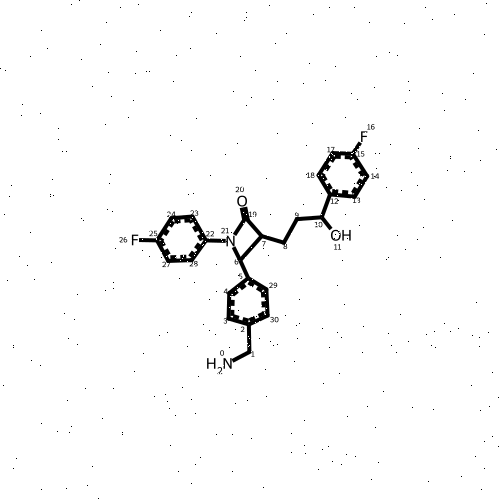 NCc1ccc(C2C(CCC(O)c3ccc(F)cc3)C(=O)N2c2ccc(F)cc2)cc1